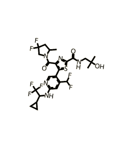 CC1CC(F)(F)CN1C(=O)c1nc(C(=O)NCC(C)(C)O)sc1-c1cnc(NC(C2CC2)C(F)(F)F)cc1C(F)F